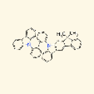 CC1(C)c2ccccc2-c2cc3c4ccccc4n(-c4ccccc4-c4ccccc4-n4c5ccccc5c5ccccc54)c3cc21